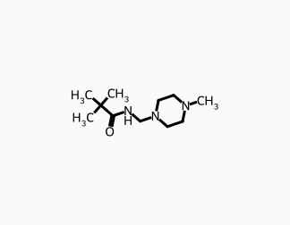 CN1CCN(CNC(=O)C(C)(C)C)CC1